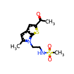 CC(=O)c1cc2cc(C)n(CCNS(C)(=O)=O)c2s1